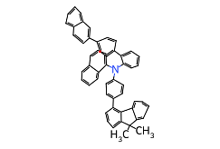 CC1(C)c2ccccc2-c2c(-c3ccc(N(c4ccccc4-c4ccc(-c5ccc6ccccc6c5)cc4)c4cccc5ccccc45)cc3)cccc21